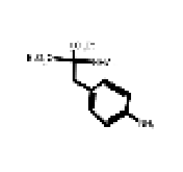 CCOC(=O)C(Cc1ccc(N)cc1)(NC(C)=O)C(=O)OCC